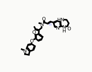 Cc1oc2c(Oc3ccc4c(c3)N(C)CC4)cccc2c1CN(C)C(=O)/C=C/c1cnc2c(c1)NCCC(=O)N2